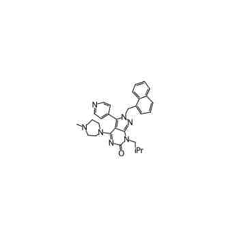 CC(C)Cn1c(=O)nc(N2CCN(C)CC2)c2c(-c3ccncc3)n(Cc3cccc4ccccc34)nc21